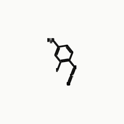 Bc1ccc(N=C=O)c(F)c1